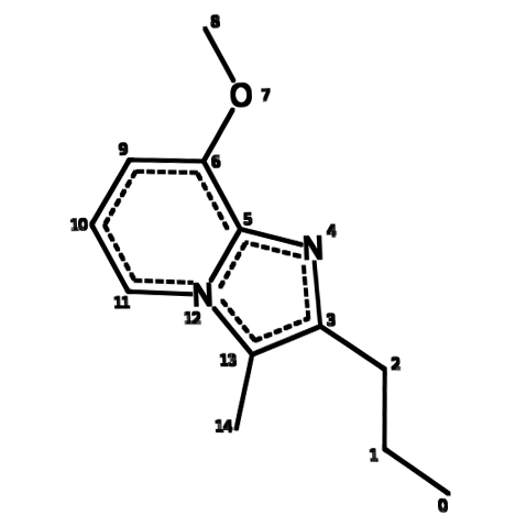 CCCc1nc2c(OC)cccn2c1C